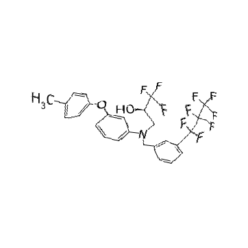 Cc1ccc(Oc2cccc(N(Cc3cccc(C(F)(F)C(F)(F)C(F)(F)F)c3)C[C@@H](O)C(F)(F)F)c2)cc1